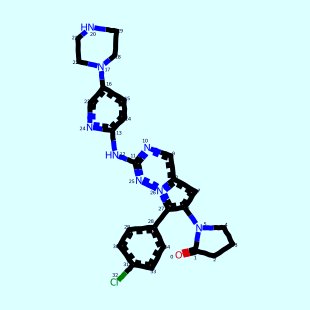 O=C1CCCN1c1cc2cnc(Nc3ccc(N4CCNCC4)cn3)nn2c1-c1ccc(Cl)cc1